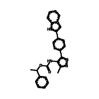 Cc1nsc(-c2ccc(-c3cc4ccccc4[nH]3)cc2)c1NC(=O)OC(C)c1ccccc1